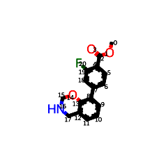 COC(=O)c1ccc(-c2cccc3c2OCNC3)cc1F